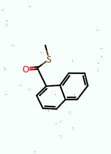 CSC(=O)c1cccc2ccccc12